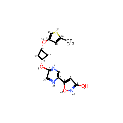 Oc1cc(-c2cnc(O[C@H]3C[C@@H](Oc4csc(C(F)(F)F)c4)C3)cn2)on1